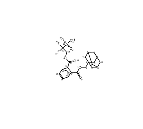 O=C(OCC12CC3CC(CC(C3)C1)C2)C1C2C=CC(C2)C1C(=O)OCC(F)(F)S(=O)(=O)O